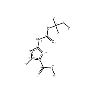 CCC(C)(C)OC(=O)Nc1cc(C)c(C(=O)OC)s1